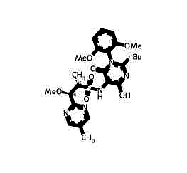 CCCCc1nc(O)c(NS(=O)(=O)[C@@H](C)[C@H](OC)c2ncc(C)cn2)c(=O)n1-c1c(OC)cccc1OC